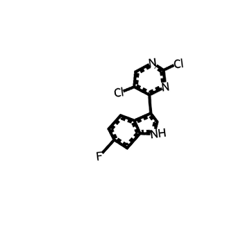 Fc1ccc2c(-c3nc(Cl)ncc3Cl)c[nH]c2c1